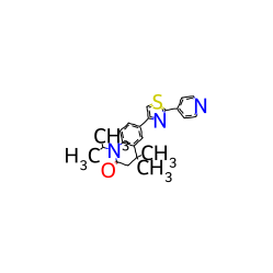 CC(C)N1C(=O)CC(C)(C)c2cc(-c3csc(-c4ccncc4)n3)ccc21